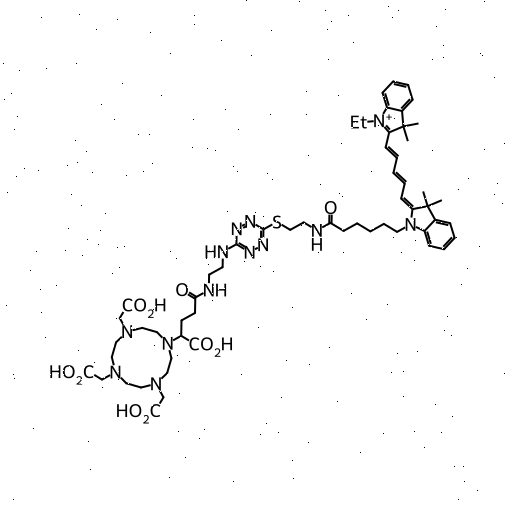 CC[N+]1=C(/C=C/C=C/C=C2/N(CCCCCC(=O)NCCSc3nnc(NCCNC(=O)CCC(C(=O)O)N4CCN(CC(=O)O)CCN(CC(=O)O)CCN(CC(=O)O)CC4)nn3)c3ccccc3C2(C)C)C(C)(C)c2ccccc21